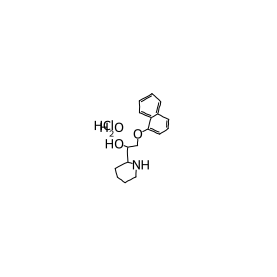 Cl.O.OC(COc1cccc2ccccc12)C1CCCCN1